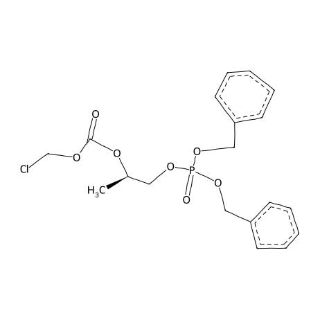 C[C@H](COP(=O)(OCc1ccccc1)OCc1ccccc1)OC(=O)OCCl